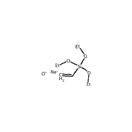 C=C[Si](OCC)(OCC)OCC.[Cl-].[Na+]